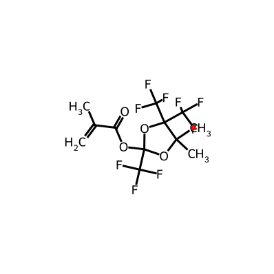 C=C(C)C(=O)OC1(C(F)(F)F)OC(C)(C)C(C(F)(F)F)(C(F)(F)F)O1